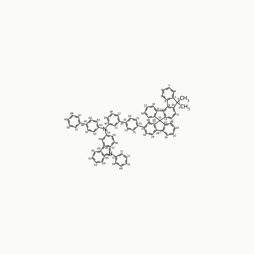 CC1(C)c2ccccc2-c2c1ccc1c2-c2ccccc2C12c1ccccc1-c1ccc(-c3ccc(-c4cccc(N(c5ccc(-c6ccccc6)cc5)c5ccc6c(c5)c5ccccc5n6-c5ccccc5)c4)cc3)cc12